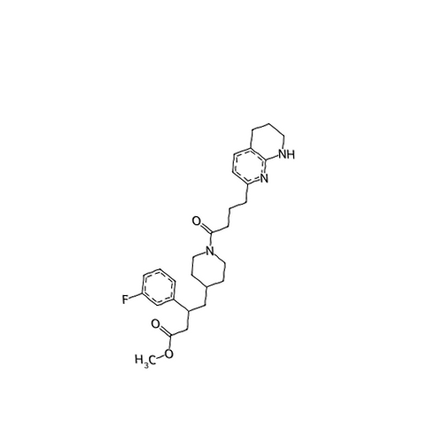 COC(=O)CC(CC1CCN(C(=O)CCCc2ccc3c(n2)NCCC3)CC1)c1cccc(F)c1